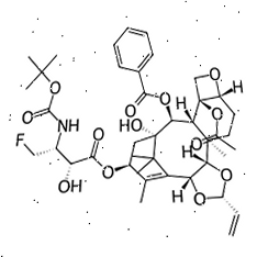 C=C[C@@H]1O[C@@H]2C3=C(C)[C@@H](OC(=O)[C@H](O)[C@H](CF)NC(=O)OC(C)(C)C)C[C@@](O)([C@@H](OC(=O)c4ccccc4)[C@H]4[C@@](C)(CC[C@H]5OC[C@]54OC(C)=O)[C@@H]2O1)C3(C)C